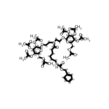 CC(=O)OC[C@H]1O[C@H](OCCN(CCO[C@H]2O[C@H](COC(C)=O)[C@@H](OC(C)=O)[C@H](OC(C)=O)[C@@H]2OC(C)=O)C(=O)CCCCCNC(=O)OCc2ccccc2)[C@@H](OC(C)=O)[C@@H](OC(C)=O)[C@@H]1OC(C)=O